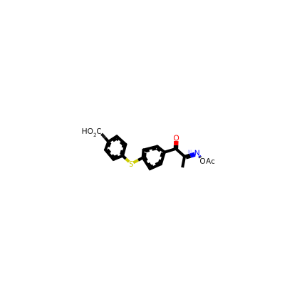 CC(=O)O/N=C(\C)C(=O)c1ccc(Sc2ccc(C(=O)O)cc2)cc1